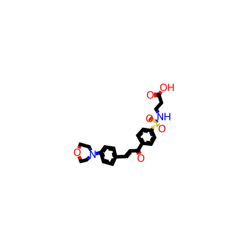 O=C(O)CCNS(=O)(=O)c1ccc(C(=O)/C=C/c2ccc(N3CCOCC3)cc2)cc1